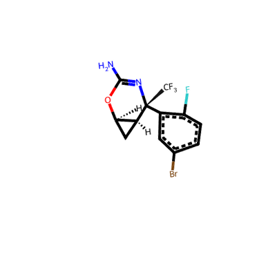 NC1=N[C@@](c2cc(Br)ccc2F)(C(F)(F)F)[C@H]2C[C@H]2O1